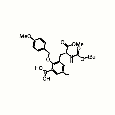 COC(=O)[C@H](Cc1cc(F)cc(B(O)O)c1OCc1ccc(OC)cc1)NC(=O)OC(C)(C)C